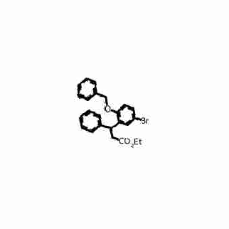 CCOC(=O)CC(c1ccccc1)c1cc(Br)ccc1OCc1ccccc1